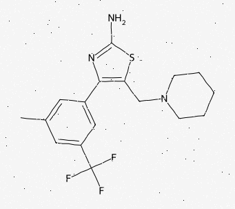 Cc1cc(-c2nc(N)sc2CN2CCCCC2)cc(C(F)(F)F)c1